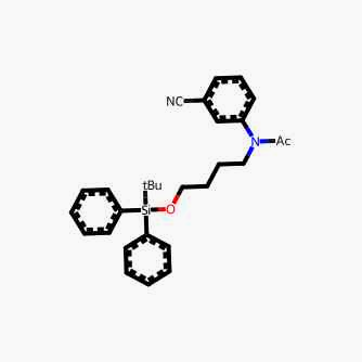 CC(=O)N(CCCCO[Si](c1ccccc1)(c1ccccc1)C(C)(C)C)c1cccc(C#N)c1